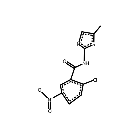 Cc1cnc(NC(=O)c2cc([N+](=O)[O-])ccc2Cl)s1